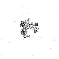 CCCc1c(Cc2ccc(-c3ccccc3C#N)cc2)c(=O)n(C2CCC3(CC2)CC(O)CO3)c2ncnn12